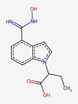 CCC(C(=O)O)n1ccc2c(C(=N)NO)cccc21